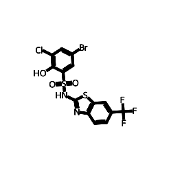 O=S(=O)(Nc1nc2ccc(C(F)(F)F)cc2s1)c1cc(Br)cc(Cl)c1O